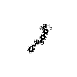 NC(=O)c1cccc(-c2ccc(C(=O)NCCCCN3CCCCC3)cc2)c1